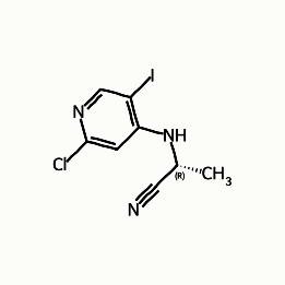 C[C@H](C#N)Nc1cc(Cl)ncc1I